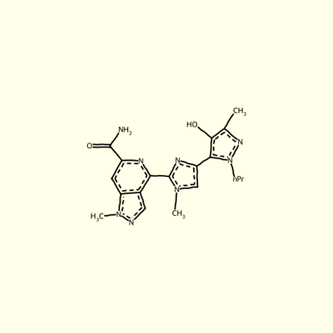 CCCn1nc(C)c(O)c1-c1cn(C)c(-c2nc(C(N)=O)cc3c2cnn3C)n1